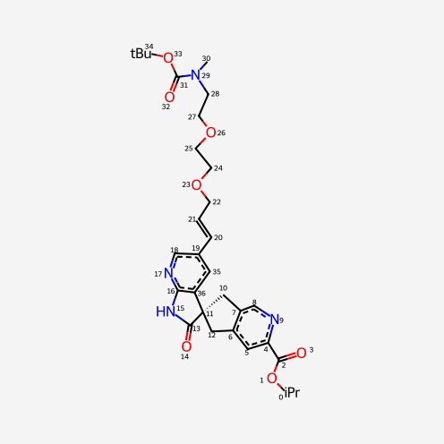 CC(C)OC(=O)c1cc2c(cn1)C[C@]1(C2)C(=O)Nc2ncc(/C=C/COCCOCCN(C)C(=O)OC(C)(C)C)cc21